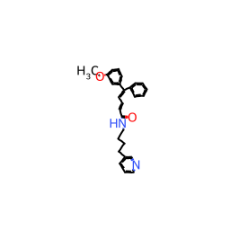 COc1cccc(C(=CC=CC(=O)NCCCCc2cccnc2)c2ccccc2)c1